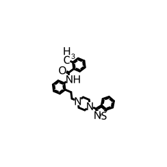 Cc1ccccc1C(=O)Nc1ccccc1CCN1CCN(c2nsc3ccccc23)CC1